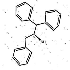 N[C@@H](Cc1ccccc1)[C](c1ccccc1)c1ccccc1